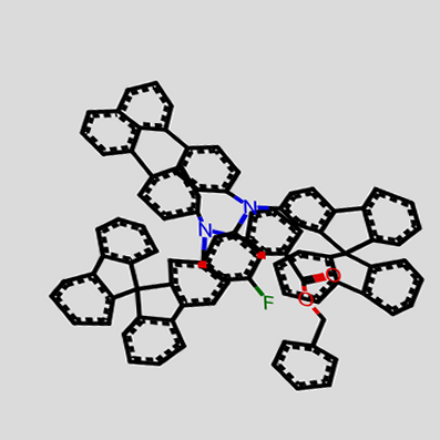 O=C(OCc1ccccc1)c1cccc(N(c2ccc(-c3cccc4cccc(-c5ccc(N(c6cccc(F)c6)c6ccc7c(c6)C6(c8ccccc8-c8ccccc86)c6ccccc6-7)cc5)c34)cc2)c2ccc3c(c2)C2(c4ccccc4-c4ccccc42)c2ccccc2-3)c1